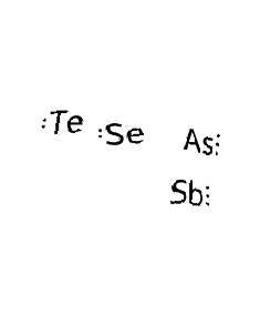 [As].[Sb].[Se].[Te]